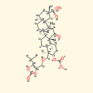 COC(=O)O[C@H]1CC[C@@]2(C)C(CC[C@]3(C)[C@@H]2C(=O)C=C2[C@@H]4C[C@@](C)(C(=O)O)CC[C@]4(C)CC[C@]23C)[C@]1(C)COCc1oc(=O)oc1C(C)C